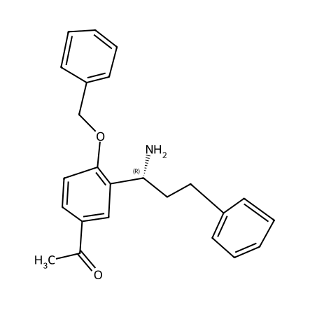 CC(=O)c1ccc(OCc2ccccc2)c([C@H](N)CCc2ccccc2)c1